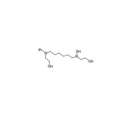 CC(C)N(CCO)CCCCCCN(O)CCO